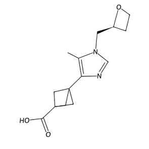 Cc1c(C23CC(C(=O)O)(C2)C3)ncn1C[C@@H]1CCO1